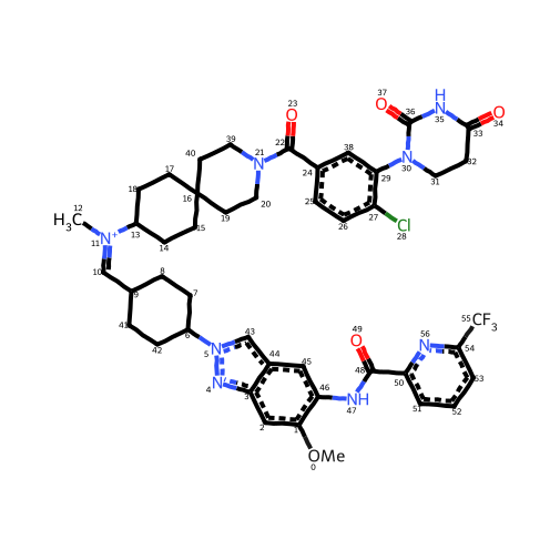 COc1cc2nn(C3CCC(/C=[N+](/C)C4CCC5(CC4)CCN(C(=O)c4ccc(Cl)c(N6CCC(=O)NC6=O)c4)CC5)CC3)cc2cc1NC(=O)c1cccc(C(F)(F)F)n1